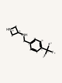 FC(F)(F)c1ccc(CNC2CNC2)cc1